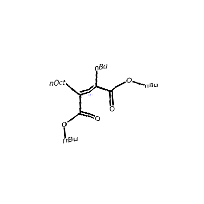 CCCCCCCC/C(C(=O)OCCCC)=C(\CCCC)C(=O)OCCCC